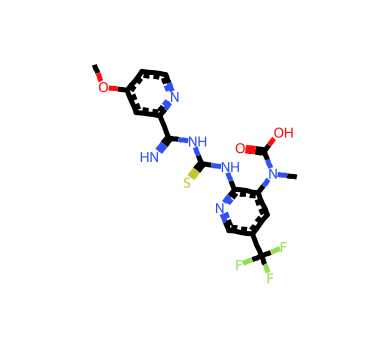 COc1ccnc(C(=N)NC(=S)Nc2ncc(C(F)(F)F)cc2N(C)C(=O)O)c1